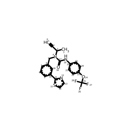 C#CC(C)N(Cc1cccc(-c2nccs2)c1)C(=O)Nc1ccc(OC(F)(F)F)cc1